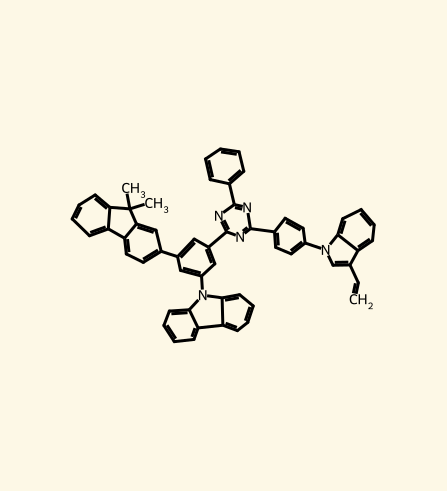 C=Cc1cn(-c2ccc(-c3nc(-c4ccccc4)nc(-c4cc(-c5ccc6c(c5)C(C)(C)c5ccccc5-6)cc(-n5c6ccccc6c6ccccc65)c4)n3)cc2)c2ccccc12